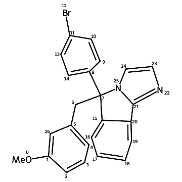 COc1cccc(CC2(c3ccc(Br)cc3)c3ccccc3-c3nccn32)c1